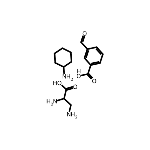 NC1CCCCC1.NCC(N)C(=O)O.O=Cc1cccc(C(=O)O)c1